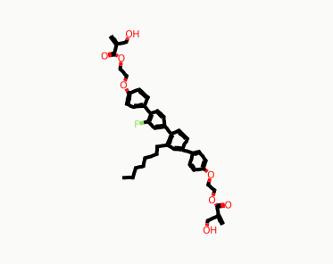 C=C(CO)C(=O)OCCOc1ccc(-c2ccc(-c3ccc(-c4ccc(OCCOC(=O)C(=C)CO)cc4)c(F)c3)c(CCCCCCC)c2)cc1